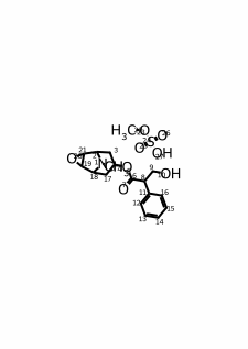 CN1C2CC(OC(=O)C(CO)c3ccccc3)CC1C1OC12.COS(=O)(=O)O